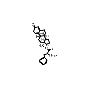 CCCCCCC(Cc1ccccc1)C(=O)O[C@H]1CC[C@H]2[C@@H]3CCC4=CC(=O)CC[C@@H]4[C@H]3CC[C@]12C